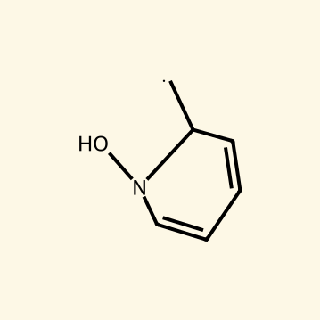 [CH2]C1C=CC=CN1O